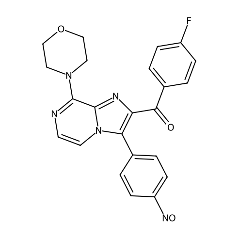 O=Nc1ccc(-c2c(C(=O)c3ccc(F)cc3)nc3c(N4CCOCC4)nccn23)cc1